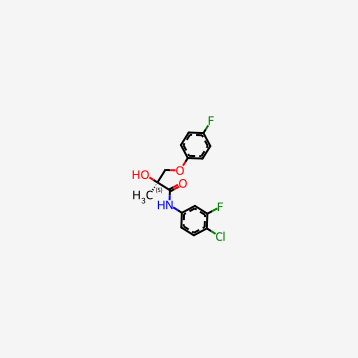 C[C@](O)(COc1ccc(F)cc1)C(=O)Nc1ccc(Cl)c(F)c1